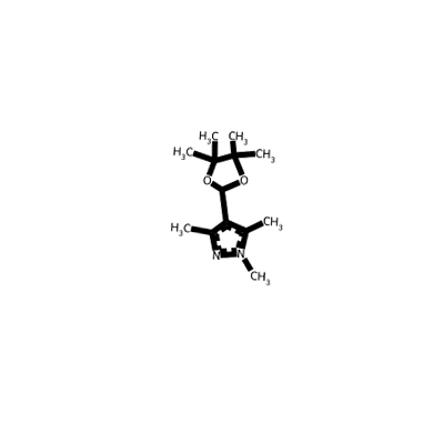 Cc1nn(C)c(C)c1C1OC(C)(C)C(C)(C)O1